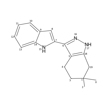 CC1(C)CCc2c(-c3cc4ccccc4[nH]3)n[nH]c2C1